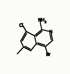 Cc1cc(Cl)c2c(N)ncc(Br)c2c1